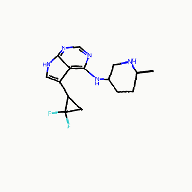 CC1CCC(Nc2ncnc3[nH]cc(C4CC4(F)F)c23)CN1